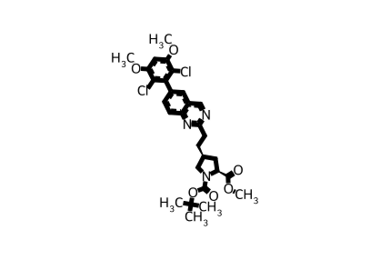 COC(=O)[C@@H]1C[C@H](CCc2ncc3cc(-c4c(Cl)c(OC)cc(OC)c4Cl)ccc3n2)CN1C(=O)OC(C)(C)C